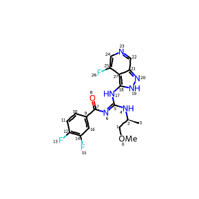 COC[C@H](C)N/C(=N/C(=O)c1ccc(F)c(F)c1)Nc1[nH]nc2cncc(F)c12